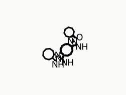 N=C1C2CCCCCCCC2n2c3cccc4c(cccc3c(=N)n21)c(=N)n1c(=O)c2c(n41)CCCCCC2